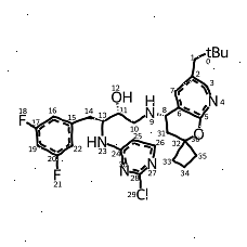 CC(C)(C)Cc1cnc2c(c1)[C@@H](NC[C@@H](O)[C@H](Cc1cc(F)cc(F)c1)Nc1ccnc(Cl)n1)CC1(CCC1)O2